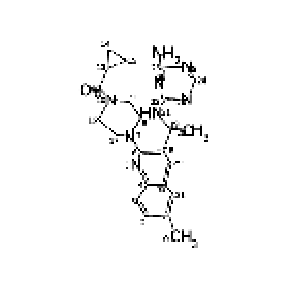 Cc1ccc2nc(N3CCN(C(=O)C4CC4)CC3)c(C(C)Nc3ncnc(N)n3)cc2c1